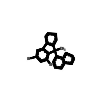 CC1(c2cccc3ccccc23)c2ccccc2-c2cc(Br)cc(Br)c21